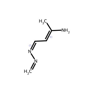 C=N/N=C\C=C(/C)N